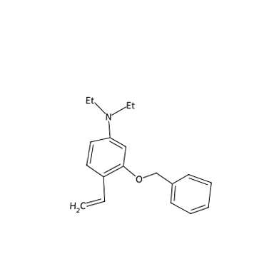 C=Cc1ccc(N(CC)CC)cc1OCc1ccccc1